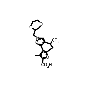 Cc1c(C(=O)O)oc2c1-c1nn(CC3COCCO3)cc1C(C(F)(F)F)C2